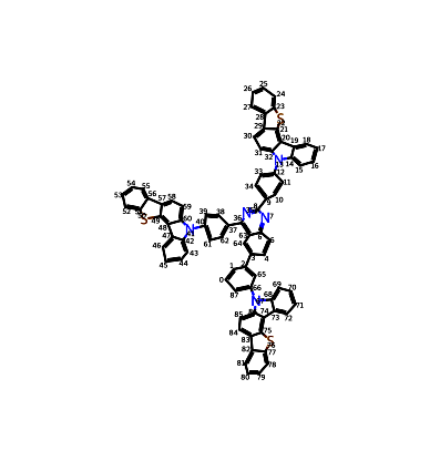 c1cc(-c2ccc3nc(-c4ccc(-n5c6ccccc6c6c7sc8ccccc8c7ccc65)cc4)nc(-c4ccc(-n5c6ccccc6c6c7sc8ccccc8c7ccc65)cc4)c3c2)cc(-n2c3ccccc3c3c4sc5ccccc5c4ccc32)c1